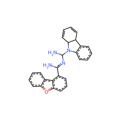 N/C(=N\C(N)N1c2ccccc2C2C=CC=CC21)c1cccc2oc3ccccc3c12